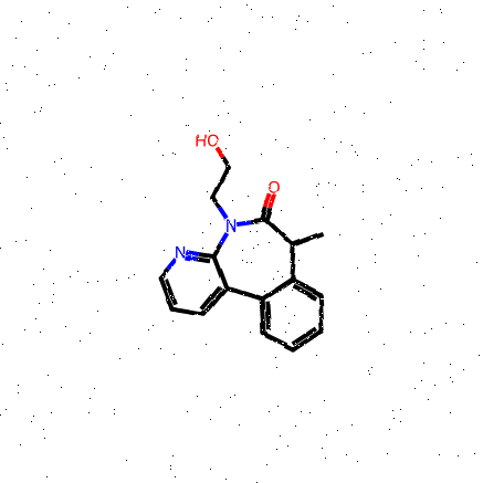 CC1C(=O)N(CCO)c2ncccc2-c2ccccc21